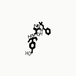 CCC(CC)(NC(=O)c1cnn2c1NC(c1ccccc1)CC2(C)C)c1ccc(CO)cc1